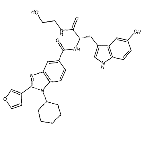 O=C(N[C@@H](Cc1c[nH]c2ccc(O)cc12)C(=O)NCCO)c1ccc2c(c1)nc(-c1ccoc1)n2C1CCCCC1